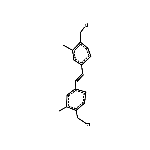 Cc1cc(C=Cc2ccc(CCl)c(C)c2)ccc1CCl